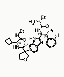 CCNC(=O)[C@H](NC(=O)C1(c2ccc3nc([C@@H](NC(=O)N(C)CC)[C@H](c4ccccc4Cl)C(C)C)[nH]c3c2)CCOC1)C1CCC1